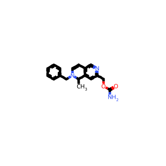 CC1c2cc(COC(N)=O)ncc2C=CN1Cc1ccccc1